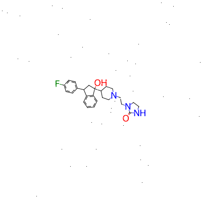 O=C1NCCN1CCN1CCC(C2(O)CC(c3ccc(F)cc3)c3ccccc32)CC1